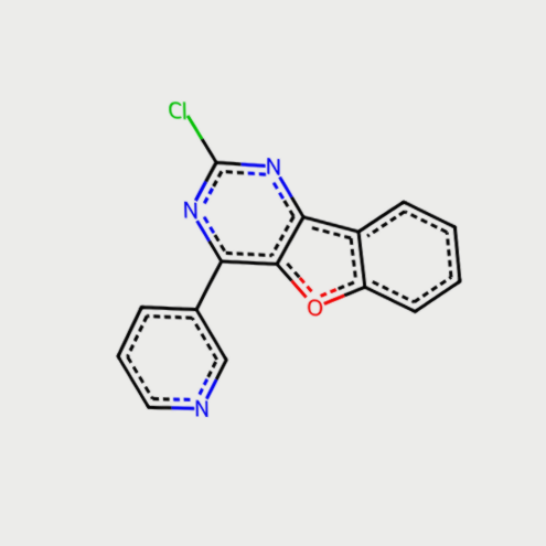 Clc1nc(-c2cccnc2)c2oc3ccccc3c2n1